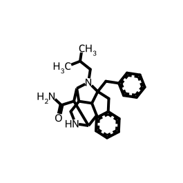 CC(C)CN1C2C3CNC(CC3C1(Cc1ccccc1)Cc1ccccc1)C2C(N)=O